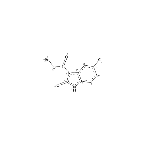 CC(C)(C)OC(=O)n1c(=O)[nH]c2ccc(Cl)cc21